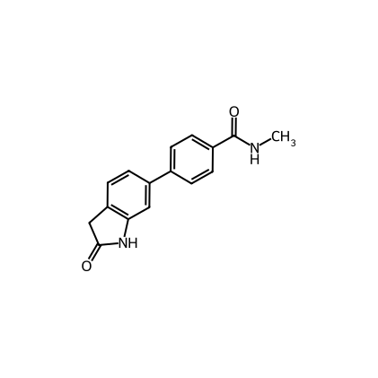 CNC(=O)c1ccc(-c2ccc3c(c2)NC(=O)C3)cc1